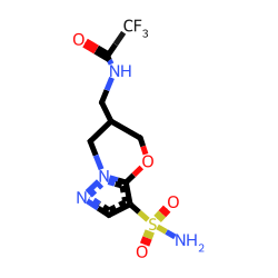 NS(=O)(=O)c1cnn2c1OCC(CNC(=O)C(F)(F)F)C2